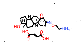 C[C@]12CC[C@H]3[C@@H](CC[C@@]45O[C@@]4(C)/C(=N/OCCN)CC[C@]35C)[C@@H]1CC[C@@H]2O.O=C(O)/C=C/C(=O)O